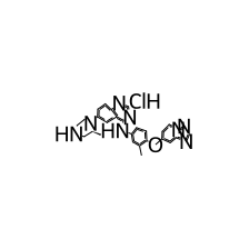 Cc1cc(Nc2ncnc3ccc(N4CCNC[C@@H]4C)cc23)ccc1Oc1ccn2ncnc2c1.Cl